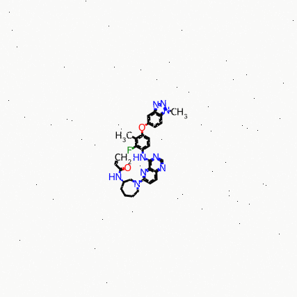 C=CC(=O)N[C@@H]1CCCCN(c2ccc3ncnc(Nc4ccc(Oc5ccc6c(c5)nnn6C)c(C)c4F)c3n2)C1